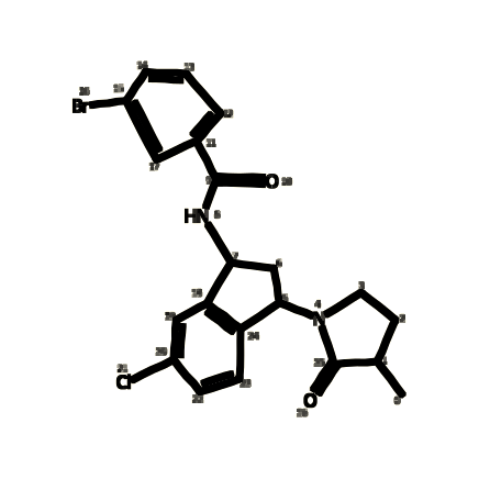 CC1CCN(C2CC(NC(=O)c3cccc(Br)c3)c3cc(Cl)ccc32)C1=O